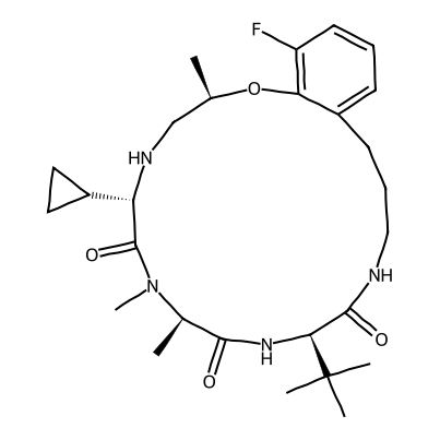 C[C@@H]1CN[C@@H](C2CC2)C(=O)N(C)[C@H](C)C(=O)N[C@H](C(C)(C)C)C(=O)NCCCc2cccc(F)c2O1